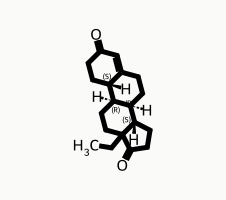 CCC12CC[C@@H]3[C@@H](CCC4=CC(=O)CC[C@H]43)[C@@H]1CCC2=O